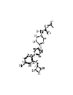 CC(C)OC(=O)N[C@H]1CC[C@H](c2ncc(-c3ccc(Br)cc3SC3CCC3)s2)CC1